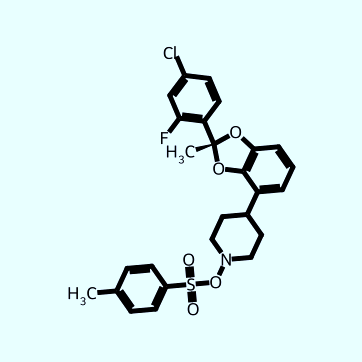 Cc1ccc(S(=O)(=O)ON2CCC(c3cccc4c3O[C@](C)(c3ccc(Cl)cc3F)O4)CC2)cc1